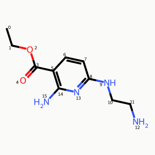 CCOC(=O)c1ccc(NCCN)nc1N